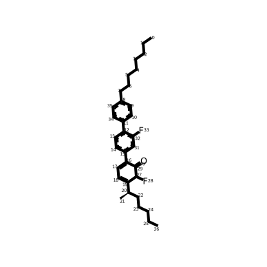 CCCCCCCCc1ccc(-c2ccc(C3=CC=C([C@H](C)CCCCC)C(F)C3=O)cc2F)cc1